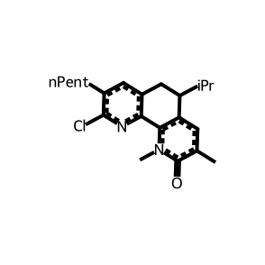 CCCCCc1cc2c(nc1Cl)-c1c(cc(C)c(=O)n1C)C(C(C)C)C2